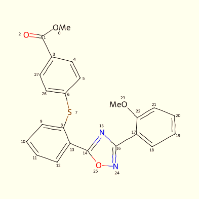 COC(=O)c1ccc(Sc2ccccc2-c2nc(-c3ccccc3OC)no2)cc1